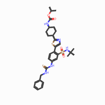 CC(C)OC(=O)NC1CCC(c2ncc(-c3ccc(NC(=S)NCc4ccccc4)cc3S(=O)(=O)NC(C)(C)C)s2)CC1